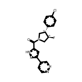 O=C(c1cc(-c2ccnnc2)n[nH]1)N1C[C@H](c2ccc(Cl)cc2)[C@@H](F)C1